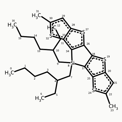 CCCCC(CC)C[Si]1(CC(CC)CCCC)c2c(sc3cc(C)sc23)-c2sc3cc(C)sc3c21